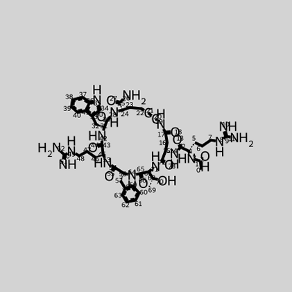 CC(O)N[C@@H](CCCNC(=N)N)C(=O)N[C@H]1CC(=O)NCCCC[C@@H](C(N)=O)NC(=O)[C@H](Cc2c[nH]c3ccccc23)NC(=O)[C@H](CCCNC(=N)N)NC(=O)[C@@H](Cc2ccccc2)NC(=O)C([C@@H](C)O)NC1=O